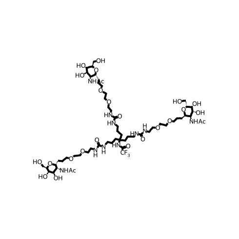 CC(=O)N[C@@H]1[C@@H](O)[C@@H](O)[C@@H](CO)O[C@@H]1CCCOCCOCCNC(=O)NCCCC(CCCNC(=O)NCCOCCOCCC[C@H]1O[C@H](CO)[C@H](O)[C@H](O)[C@H]1NC(C)=O)(CCCNC(=O)NCCOCCOCCC[C@H]1O[C@H](CO)[C@H](O)[C@H](O)[C@H]1NC(C)=O)NC(=O)C(F)(F)F